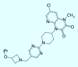 CC(C)OC1CN(Cc2cnc(N3CCC(n4c(=O)c(=O)n(C)c5cc(Cl)cnc54)CC3)nc2)C1